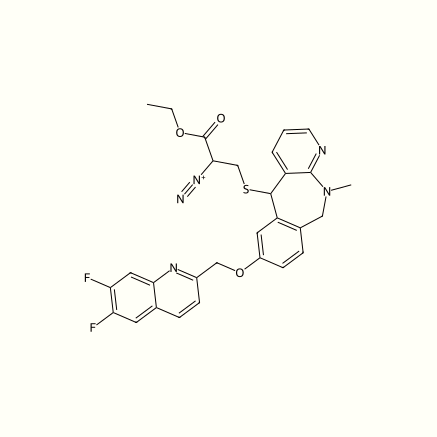 CCOC(=O)C(CSC1c2cc(OCc3ccc4cc(F)c(F)cc4n3)ccc2CN(C)c2ncccc21)[N+]#N